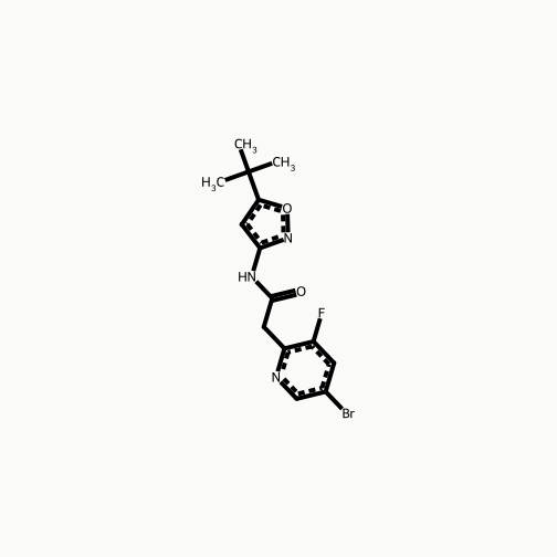 CC(C)(C)c1cc(NC(=O)Cc2ncc(Br)cc2F)no1